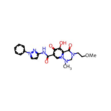 COCCN1CN(C)n2cc(C(=O)Nc3ccn(-c4ccccc4)n3)c(=O)c(O)c2C1=O